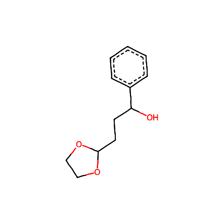 OC(CCC1OCCO1)c1ccccc1